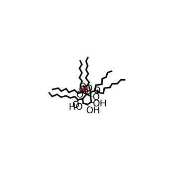 CCCCCCCC(=O)O[C@@]1(C(=O)CCCCCCC)[C@@](OC(=O)CCCCCCC)(C(=O)CCCCCCC)[C@@H](O)[C@H](O)[C@@H](O)[C@@]1(OC(=O)CCCCCCC)C(=O)CCCCCCC